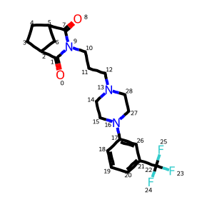 O=C1C2CCC(C2)C(=O)N1CCCN1CCN(c2cccc(C(F)(F)F)c2)CC1